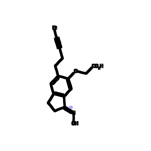 CCC#CCCc1cc2c(cc1OCC(=O)O)/C(=N/O)CC2